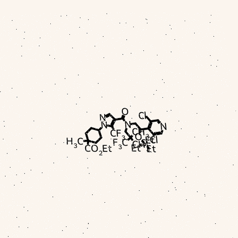 CCOC(=O)C1(C)CCC(n2ncc(C(=O)N(CC(O[Si](CC)(CC)CC)c3c(Cl)cncc3Cl)CC(C)(C)C(F)(F)F)c2C(F)(F)F)CC1